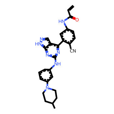 C=CC(=O)Nc1ccc(C#N)c(-c2nc(Nc3cccc(N4CCC(C)CC4)c3)nc3[nH]ncc23)c1